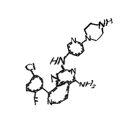 Nc1nc(Nc2ccc(N3CCNCC3)nc2)nc2c(-c3cc(Cl)ccc3F)nccc12